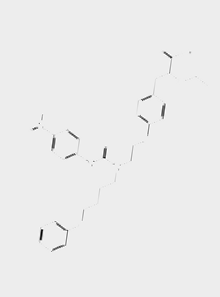 CCOC(Cc1ccc(OCCN(CCCCOc2ccccc2)C(=O)Nc2ccc([N+](=O)[O-])cc2)cc1)C(=O)O